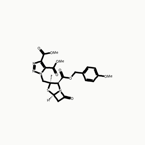 COC(=O)c1nnn(C[C@]2(C)S[C@@H]3CC(=O)N3[C@@H]2C(=O)OCc2ccc(OC)cc2)c1C(=O)OC